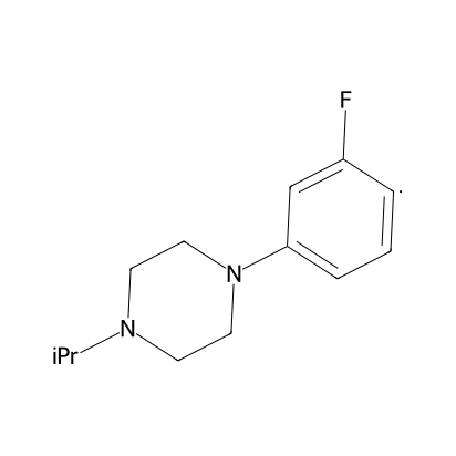 CC(C)N1CCN(c2cc[c]c(F)c2)CC1